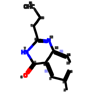 C=C(C)/C=c1/c(=O)[nH]c(CCC=O)n/c1=C/C